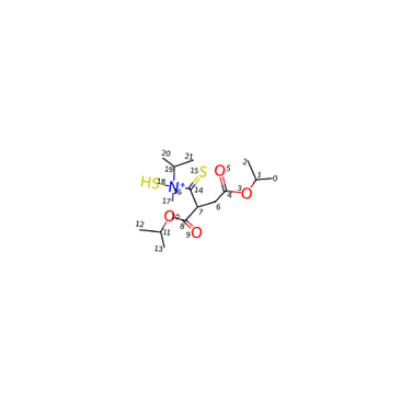 CC(C)OC(=O)CC(C(=O)OC(C)C)C(=S)[N+](C)(S)C(C)C